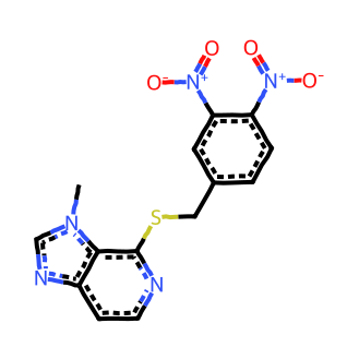 Cn1cnc2ccnc(SCc3ccc([N+](=O)[O-])c([N+](=O)[O-])c3)c21